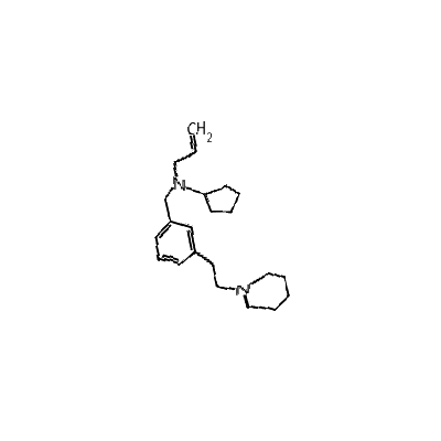 C=CCN(Cc1cccc(CCN2CCCCC2)c1)C1CCCC1